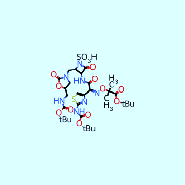 CC(C)(C)OC(=O)NCC1CN(C[C@@H]2[C@H](NC(=O)/C(=N\OC(C)(C)C(=O)OC(C)(C)C)c3csc(NC(=O)OC(C)(C)C)n3)C(=O)N2S(=O)(=O)O)C(=O)O1